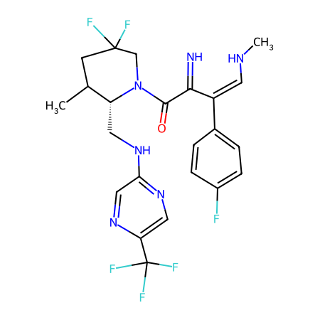 CN/C=C(\C(=N)C(=O)N1CC(F)(F)CC(C)[C@H]1CNc1cnc(C(F)(F)F)cn1)c1ccc(F)cc1